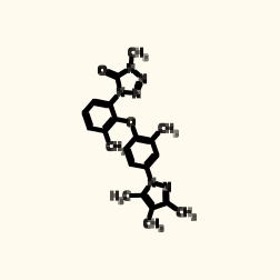 Cc1cc(-n2nc(C)c(C)c2C)ccc1Oc1c(C)cccc1-n1nnn(C)c1=O